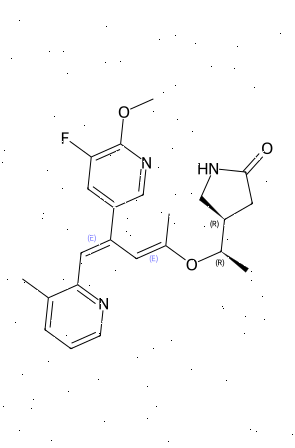 COc1ncc(C(/C=C(\C)O[C@H](C)[C@H]2CNC(=O)C2)=C/c2ncccc2C)cc1F